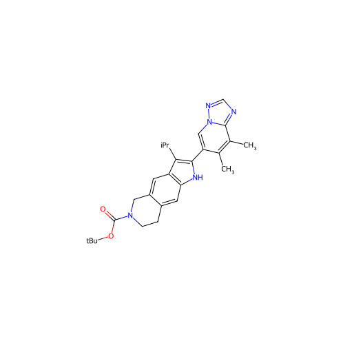 Cc1c(-c2[nH]c3cc4c(cc3c2C(C)C)CN(C(=O)OC(C)(C)C)CC4)cn2ncnc2c1C